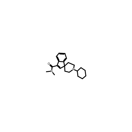 CN(C)C(=O)C1=CC2(CCN(C3CCCCC3)CC2)c2ccccc21